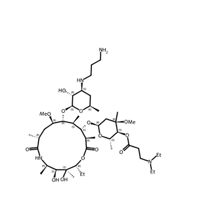 CC[C@H]1OC(=O)[C@H](C)[C@@H](O[C@H]2C[C@@](C)(OC)[C@@H](OC(=O)CCN(CC)CC)[C@H](C)O2)[C@H](C)[C@@H](O[C@@H]2O[C@H](C)C[C@H](NCCCN)[C@H]2O)[C@H](OC)C[C@@H](C)C(=O)N[C@H](C)[C@H](O)[C@]1(C)O